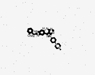 COc1ccccc1Cc1nc2cc(-c3nn([C@H]4CC[C@H](N5CCN(C)CC5)CC4)c4ncnc(N)c34)ccc2[nH]1